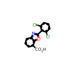 O=C(O)c1cccc2nc(-c3c(Cl)cccc3Cl)oc12